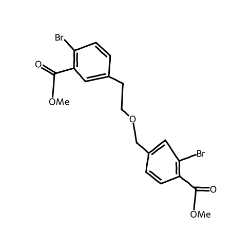 COC(=O)c1ccc(COCCc2ccc(Br)c(C(=O)OC)c2)cc1Br